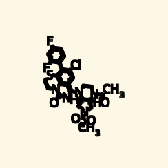 CC(=O)N1CCN(c2nc(=O)n3c4c(c(-c5ccc(F)cc5F)c(Cl)cc24)SCC3)[C@H]2CN(S(C)(=O)=O)C[C@H]21